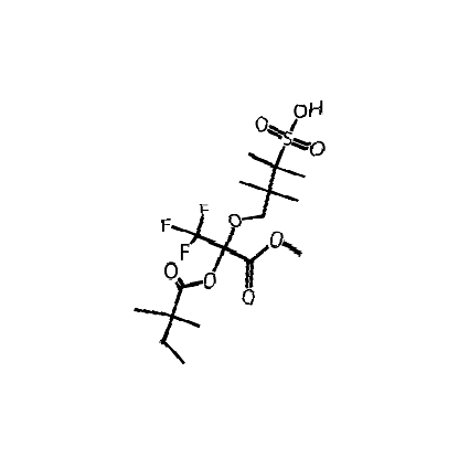 CCC(C)(C)C(=O)OC(OCC(C)(C)C(C)(C)S(=O)(=O)O)(C(=O)OC)C(F)(F)F